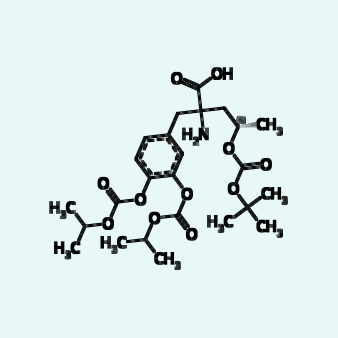 CC(C)OC(=O)Oc1ccc(CC(N)(C[C@H](C)OC(=O)OC(C)(C)C)C(=O)O)cc1OC(=O)OC(C)C